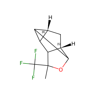 CC1(C(F)(F)F)OC2C3C4C1[C@@H]2C[C@@H]34